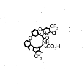 Cc1cccc2c1-c1cc(c(F)c(C(F)(F)F)c1)[C@@H](CC(=O)O)NC(=O)[C@@H](n1cc(Cl)c(C(F)(F)F)cc1=O)c1cccc(c1)O2